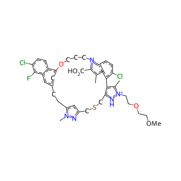 COCCOCC[n+]1[nH]c2c(c1C)-c1c(Cl)ccc3c1c(C)c(C(=O)O)n3CCCOc1cc(cc3c(F)c(Cl)ccc13)CCc1cc(nn1C)CSC2